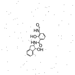 O=CNc1cccc(C(=O)NC2Cc3ccccc3C2O)c1O